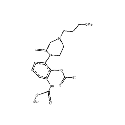 CCC(=O)Oc1c(NC(=O)OC(C)(C)C)cccc1N1CCN(CCCOC)CC1=O